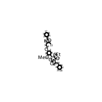 CCO[C@@H](Cc1ccc(OCCc2nc(-c3ccccc3)oc2C)cc1OC)C(=O)N1C(=O)OC[C@@H]1Cc1ccccc1